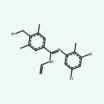 C=CN/C(=N\c1cc(CC)cc(CC)c1C)c1cc(C)c(CC(C)C)c(C)c1